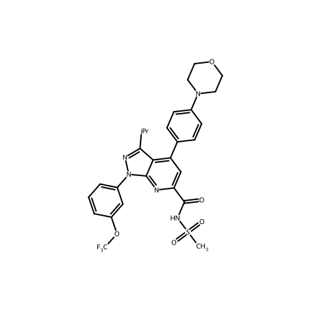 CC(C)c1nn(-c2cccc(OC(F)(F)F)c2)c2nc(C(=O)NS(C)(=O)=O)cc(-c3ccc(N4CCOCC4)cc3)c12